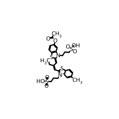 CCC(=CC1=[N+](CCCS(=O)(=O)O)C2C=C(C)C=CC2S1)C=C1Sc2ccc(OC(C)=O)cc2N1CCCS(=O)(=O)O